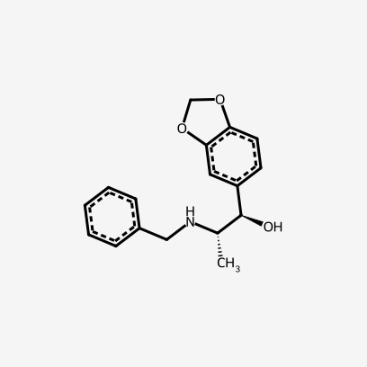 C[C@H](NCc1ccccc1)[C@H](O)c1ccc2c(c1)OCO2